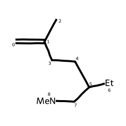 C=C(C)CCC(CC)CNC